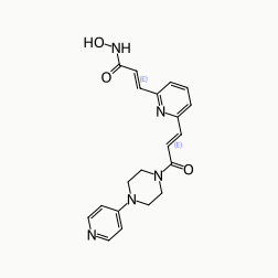 O=C(/C=C/c1cccc(/C=C/C(=O)N2CCN(c3ccncc3)CC2)n1)NO